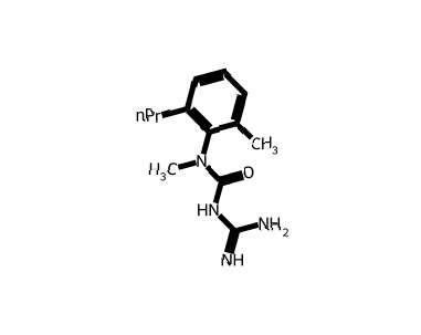 CCCc1cccc(C)c1N(C)C(=O)NC(=N)N